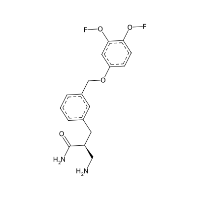 NC[C@H](Cc1cccc(COc2ccc(OF)c(OF)c2)c1)C(N)=O